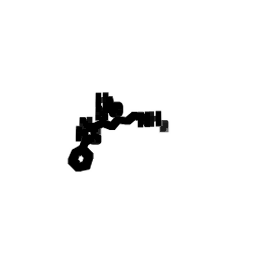 CC(=O)NC(CCCCN)c1nnc(-c2ccccc2)s1